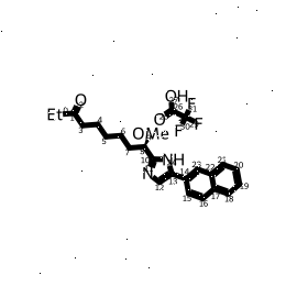 CCC(=O)CCCCC[C@@H](OC)c1ncc(-c2ccc3ccccc3c2)[nH]1.O=C(O)C(F)(F)F